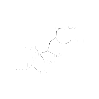 CCCCCCC[CH2][SnH]([CH2]CCCCCCC)[O][Sn]([CH2]CCCCCCC)([CH2]CCCCCCC)[CH](CCCC)CC(OCCCCCCC)OC(=O)O